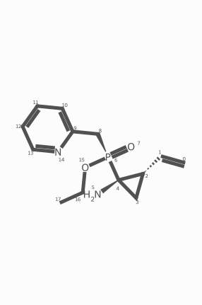 C=C[C@@H]1C[C@]1(N)[P@](=O)(Cc1ccccn1)OCC